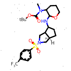 CN(C(=O)OC(C)(C)C)C1CCCOC1NC1CC[C@H]2CN(S(=O)(=O)c3ccc(C(F)(F)F)cc3)CC12